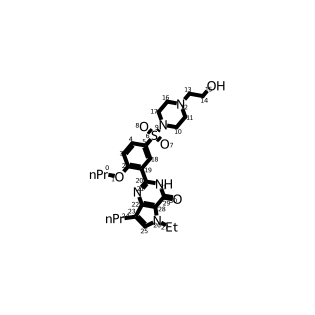 CCCOc1ccc(S(=O)(=O)N2CCN(CCO)CC2)cc1-c1nc2c(CCC)cn(CC)c2c(=O)[nH]1